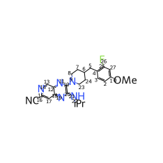 COc1ccc(CC2CCN(c3nc4cnc(C#N)cc4nc3NC(C)C)CC2)c(F)c1